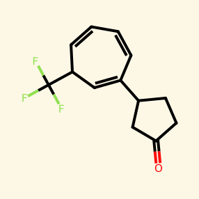 O=C1CCC(C2=CC(C(F)(F)F)C=CC=C2)C1